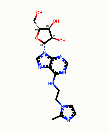 Cc1nccn1CCNc1ncnc2c1ncn2[C@@H]1O[C@H](CO)[C@@H](O)[C@H]1O